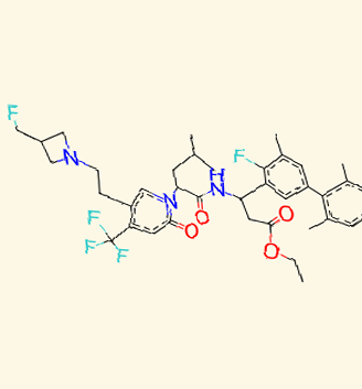 CCOC(=O)CC(NC(=O)C(CC(C)C)n1cc(CCN2CC(CF)C2)c(C(F)(F)F)cc1=O)c1cc(-c2c(C)cccc2C)cc(C)c1F